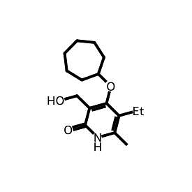 CCc1c(C)[nH]c(=O)c(CO)c1OC1CCCCCC1